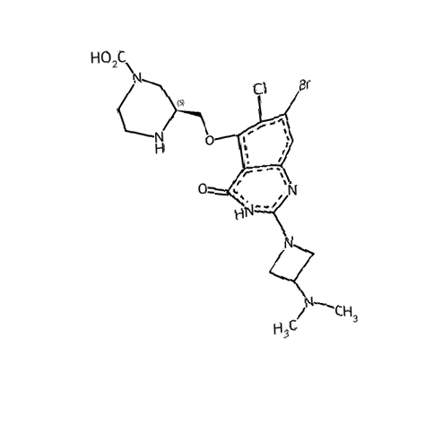 CN(C)C1CN(c2nc3cc(Br)c(Cl)c(OC[C@@H]4CN(C(=O)O)CCN4)c3c(=O)[nH]2)C1